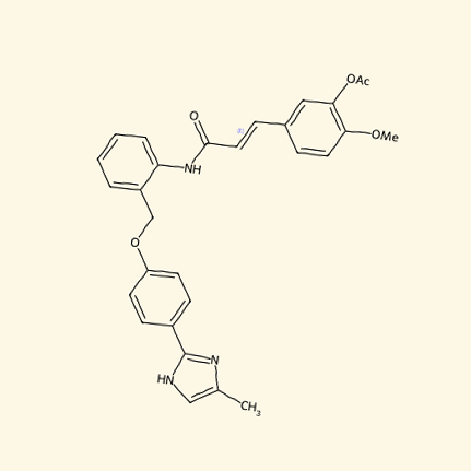 COc1ccc(/C=C/C(=O)Nc2ccccc2COc2ccc(-c3nc(C)c[nH]3)cc2)cc1OC(C)=O